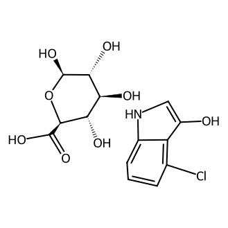 O=C(O)[C@H]1O[C@@H](O)[C@H](O)[C@@H](O)[C@@H]1O.Oc1c[nH]c2cccc(Cl)c12